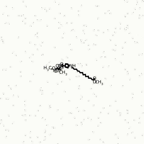 CCOC(=O)C(O)C(O)(CC)C(=O)OC(=O)c1ccc(NCCCCCCCCCCCCCCCC(=O)OC)cc1